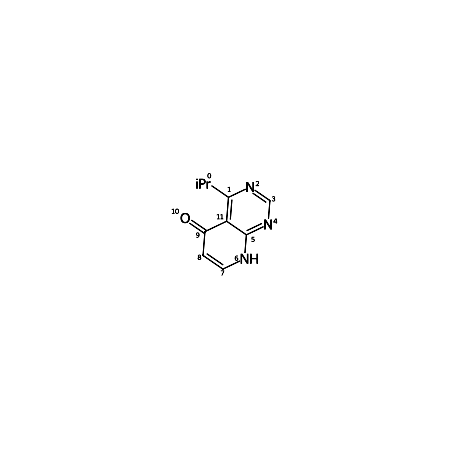 CC(C)c1ncnc2[nH]ccc(=O)c12